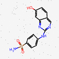 NS(=O)(=O)c1ccc(Nc2ncc3ccc(O)cc3n2)cc1